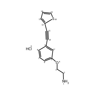 Cl.NCCOc1cccc(C#Cc2cccs2)c1